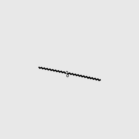 CCCCCCCCC=CCCCCCCCCCCCCCC(=O)OCCCCCCCCCCCCCCCCCCCC